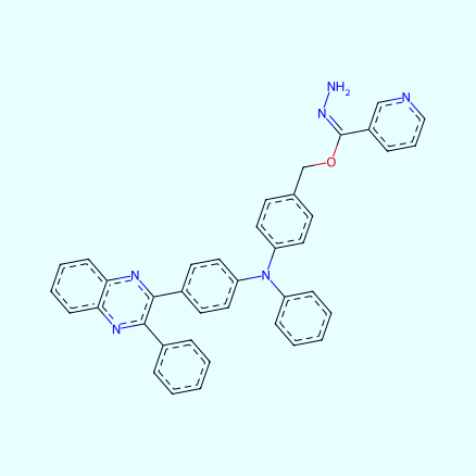 NN=C(OCc1ccc(N(c2ccccc2)c2ccc(-c3nc4ccccc4nc3-c3ccccc3)cc2)cc1)c1cccnc1